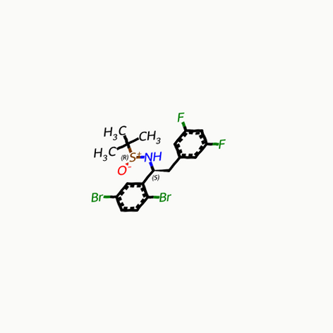 CC(C)(C)[S@+]([O-])N[C@@H](Cc1cc(F)cc(F)c1)c1cc(Br)ccc1Br